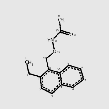 CCc1ccc2ccccc2c1CONC(C)=O